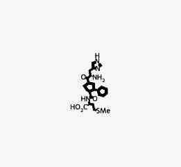 CSCC[C@H](NC(=O)c1ccc(C(=O)[C@@H](N)Cc2c[nH]cn2)cc1-c1ccccc1)C(=O)O